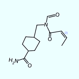 C/C=C\C(=O)N(C=O)CC1CCC(C(N)=O)CC1